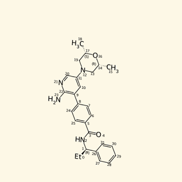 CC[C@@H](NC(=O)c1ccc(-c2cc(N3C[C@@H](C)O[C@@H](C)C3)cnc2N)cc1)c1ccccc1